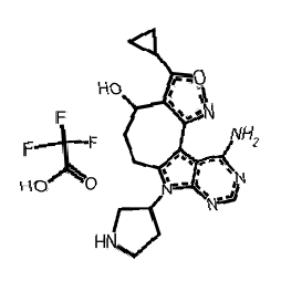 Nc1ncnc2c1c1c(n2C2CCNC2)CCC(O)c2c-1noc2C1CC1.O=C(O)C(F)(F)F